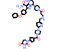 CN(CCC(=O)N1CCC([C@@H]2CCNc3c(C(N)=O)c(-c4ccc(Oc5ccccc5)cc4)nn32)CC1)Cc1ccc(N2CCN(C(=O)c3ccc(N4CCC(=O)NC4=O)cc3)CC2)nc1